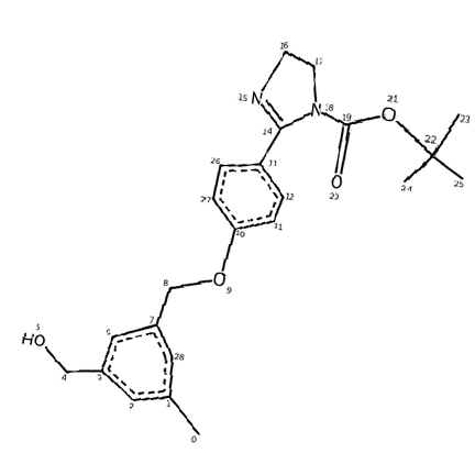 Cc1cc(CO)cc(COc2ccc(C3=NCCN3C(=O)OC(C)(C)C)cc2)c1